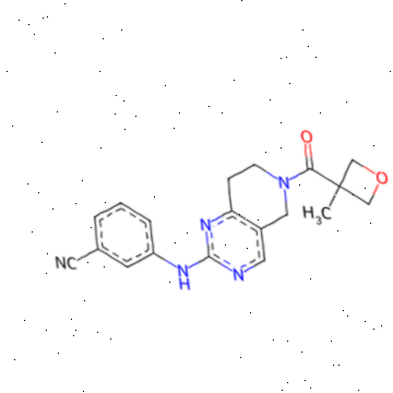 CC1(C(=O)N2CCc3nc(Nc4cccc(C#N)c4)ncc3C2)COC1